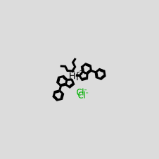 CCC[C](CCC)=[Hf+2]([CH]1C=Cc2c(-c3ccccc3)cccc21)[CH]1C=Cc2c(-c3ccccc3)cccc21.[Cl-].[Cl-]